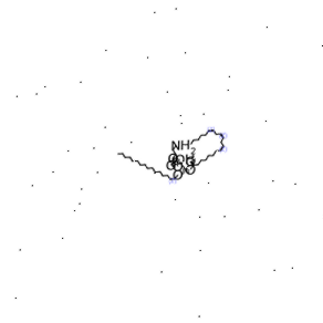 CCCCC/C=C\C/C=C\C/C=C\CCCCCCC(=O)O[C@H](CO/C=C\CCCCCCCCCCCCCC)COP(=O)(O)OCCN